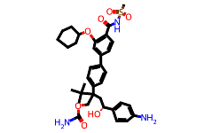 CC(C)(C)C(COC(N)=O)(C[C@@H](O)c1ccc(N)cc1)c1ccc(-c2ccc(C(=O)NS(C)(=O)=O)c(OC3CCCCC3)c2)cc1